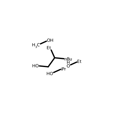 CC(C)O.CCCCC(CC)CO.CCO.CO